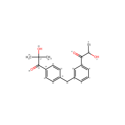 CCC(O)C(=O)c1cccc(Cc2ccc(C(=O)C(C)(C)O)cc2)c1